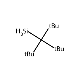 CC(C)(C)C([SiH3])(C(C)(C)C)C(C)(C)C